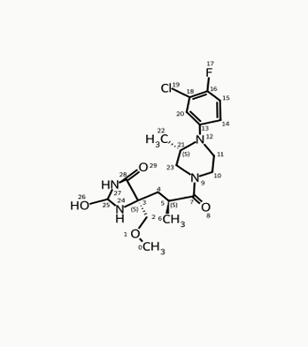 COC[C@]1(C[C@H](C)C(=O)N2CCN(c3ccc(F)c(Cl)c3)[C@@H](C)C2)NC(O)NC1=O